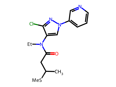 CCN(C(=O)CC(C)SC)c1cn(-c2cccnc2)nc1Cl